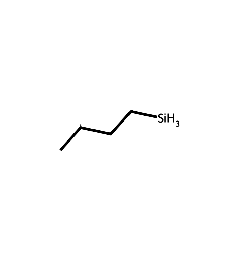 C[CH]CC[SiH3]